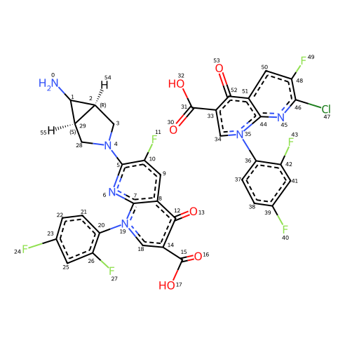 NC1[C@H]2CN(c3nc4c(cc3F)c(=O)c(C(=O)O)cn4-c3ccc(F)cc3F)C[C@@H]12.O=C(O)c1cn(-c2ccc(F)cc2F)c2nc(Cl)c(F)cc2c1=O